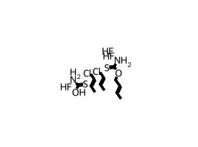 CC=CCOC(N)=S.CC=CCl.CC=CCl.F.F.F.NC(O)=S